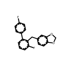 Fc1ccc(-c2[c]ccc(F)c2Cc2ccc3c(c2)OCO3)cc1